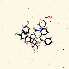 O=C(N[C@@H]1CC[C@@H](CO)OC1)[C@H]1[C@H](c2ccnc(Cl)c2)C2(C(=O)Nc3cc(Cl)ccc32)C2(CC(CF)(CF)C2)N1[C@H](c1ccccc1)[C@@H](O)c1ccccc1